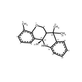 Cc1cccc2c1OCC1[C@@H]2Nc2ccccc2C1(C)C